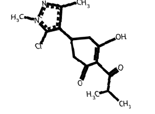 Cc1nn(C)c(Cl)c1C1CC(=O)C(C(=O)C(C)C)=C(O)C1